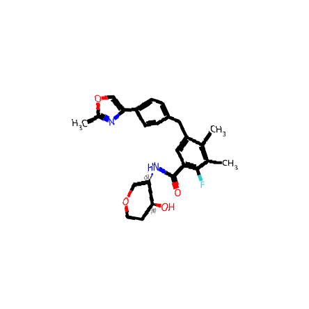 Cc1nc(-c2ccc(Cc3cc(C(=O)N[C@H]4COCC[C@@H]4O)c(F)c(C)c3C)cc2)co1